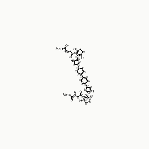 COC(=O)NCC(=O)N1[C@@H]2CC[C@@H](C2)[C@H]1c1nc(-c2ccc(-c3ccc(-c4c[nH]c([C@@H]5[C@H]6CC[C@H](C6)N5C(=O)CNC(=O)OC)n4)cc3)cc2)c[nH]1